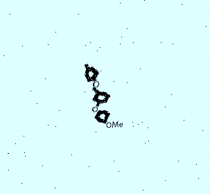 COc1ccc(Oc2cccc(COc3ccc(C)cc3)c2)cc1